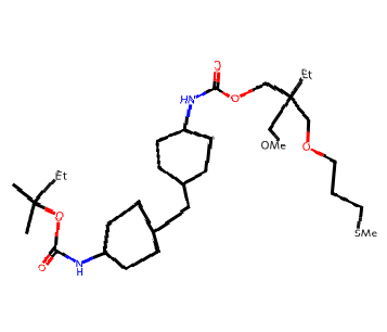 CCC(COC)(COCCCSC)COC(=O)NC1CCC(CC2CCC(NC(=O)OC(C)(C)CC)CC2)CC1